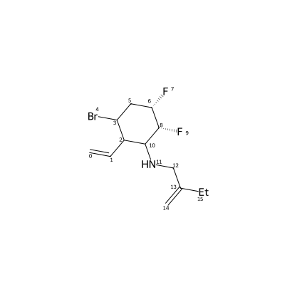 C=CC1C(Br)C[C@H](F)[C@H](F)C1NCC(=C)CC